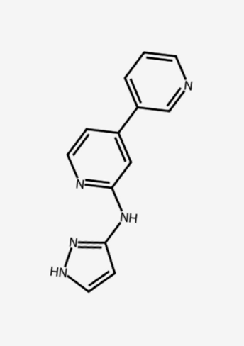 c1cncc(-c2ccnc(Nc3cc[nH]n3)c2)c1